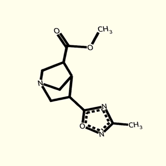 COC(=O)C1CN2CC(c3nc(C)no3)C1C2